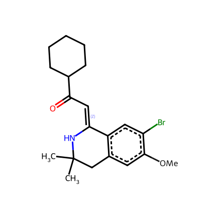 COc1cc2c(cc1Br)/C(=C/C(=O)C1CCCCC1)NC(C)(C)C2